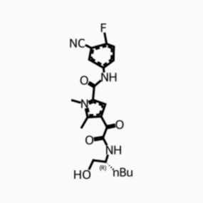 CCCC[C@H](CO)NC(=O)C(=O)c1cc(C(=O)Nc2ccc(F)c(C#N)c2)n(C)c1C